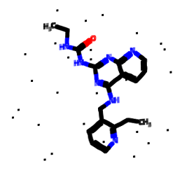 CCNC(=O)Nc1nc(NCc2cccnc2CC)c2cccnc2n1